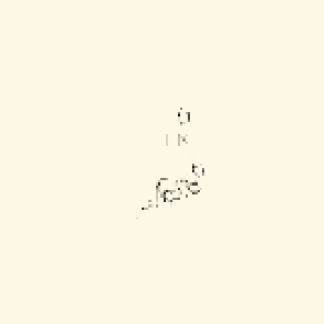 COc1nc(CNCCO)nc2c1CN(c1cccc(-c3cccc(OCCCNCCc4ccncc4)c3)c1C)C2